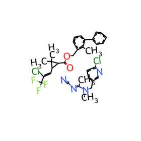 C/C(=N\C#N)N(C)Cc1ccc(Cl)nc1.Cc1c(COC(=O)C2C(/C=C(\Cl)C(F)(F)F)C2(C)C)cccc1-c1ccccc1